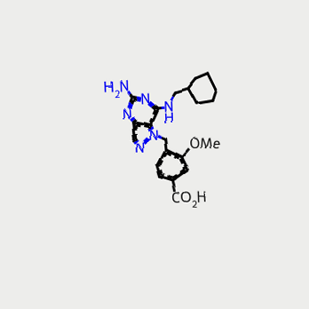 COc1cc(C(=O)O)ccc1Cn1ncc2nc(N)nc(NCC3CCCCC3)c21